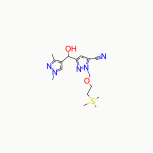 Cc1nn(C)cc1C(O)c1cc(C#N)n(COCCS(C)(C)C)n1